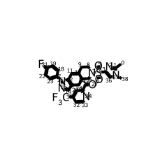 Cc1nc(S(=O)(=O)N2CCC3=Cc4c(cnn4-c4ccc(F)cc4)C[C@]3(C(=O)c3cc(C(F)(F)F)ccn3)C2)cn1C